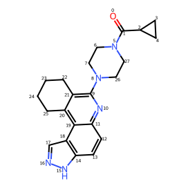 O=C(C1CC1)N1CCN(c2nc3ccc4[nH]ncc4c3c3c2CCCC3)CC1